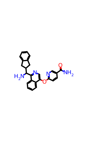 NC(=O)c1ccc(Oc2cnc(C(N)C3Cc4ccccc4C3)c3ccccc23)nc1